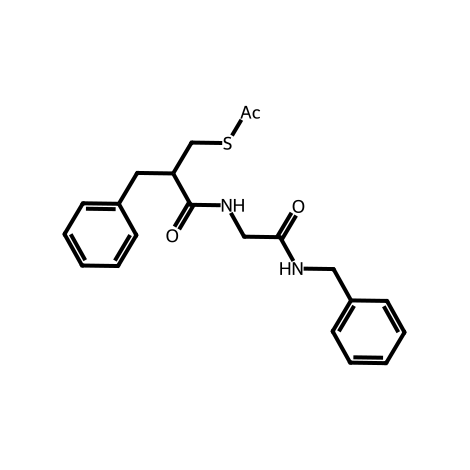 CC(=O)SCC(Cc1ccccc1)C(=O)NCC(=O)NCc1ccccc1